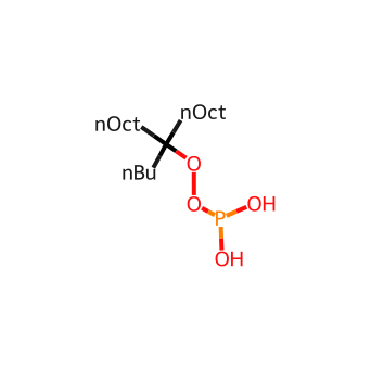 CCCCCCCCC(CCCC)(CCCCCCCC)OOP(O)O